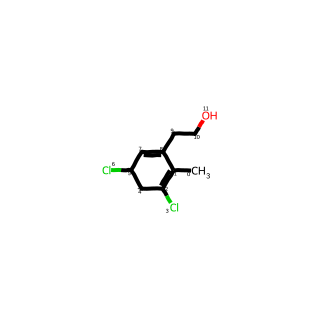 CC1=C(Cl)[CH]C(Cl)C=C1CCO